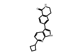 O=C1NCCc2cc(-c3c[nH]c4nc(C5CCC5)ccc34)ccc21